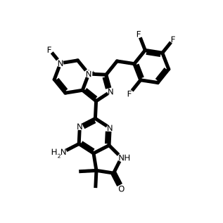 CC1(C)C(=O)Nc2nc(C3=C4C=CN(F)C[N+]4C(Cc4c(F)ccc(F)c4F)=N3)nc(N)c21